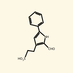 O=Cc1[nH]c(-c2ccccc2)cc1CCS(=O)(=O)O